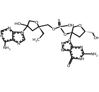 CC[C@@]1(COP(O)(=S)O[C@@]2(n3nnc4c(=O)[nH]c(N)nc43)CO[C@H](CO)C2)CC(O)(n2cnc3c(N)ncnc32)CO1